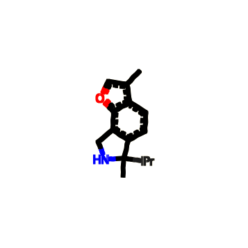 Cc1coc2c3c(ccc12)C(C)(C(C)C)NC3